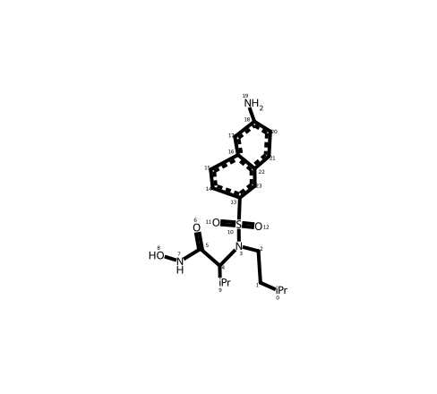 CC(C)CCN(C(C(=O)NO)C(C)C)S(=O)(=O)c1ccc2cc(N)ccc2c1